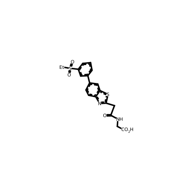 CCS(=O)(=O)c1cccc(-c2ccc3nc(CC(=O)NCC(=O)O)sc3c2)c1